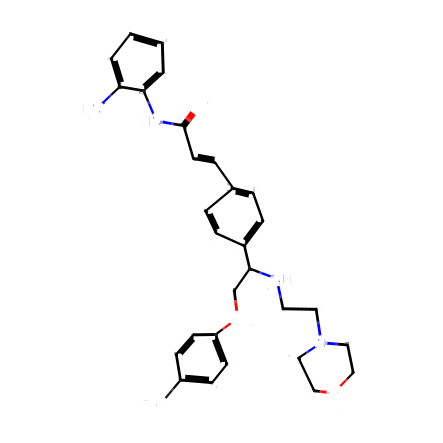 Nc1ccccc1NC(=O)C=Cc1ccc(C(COc2ccc(C(F)(F)F)cc2)NCCN2CCOCC2)cc1